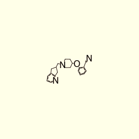 N#Cc1ccccc1OC1CCN(CC2Cc3cccnc3C2)CC1